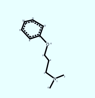 CN(C)CCCOc1[c]c[c]cc1